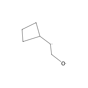 [O]C[CH]C1CCC1